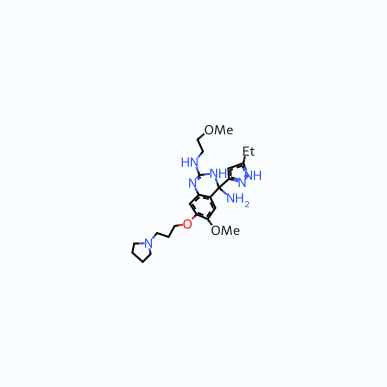 CCc1cc(C2(N)NC(NCCOC)=Nc3cc(OCCCN4CCCC4)c(OC)cc32)n[nH]1